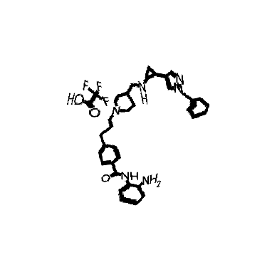 Nc1ccccc1NC(=O)c1ccc(CCCN2CCC(CNC3CC3c3cnn(-c4ccccc4)c3)CC2)cc1.O=C(O)C(F)(F)F